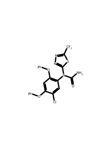 CC(C)Oc1cc(OC(C)C)c(N(C(N)=O)c2nnc(C(F)(F)F)s2)cc1Cl